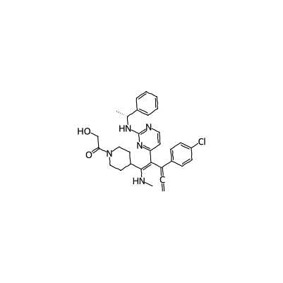 C=C=C(/C(=C(\NC)C1CCN(C(=O)CO)CC1)c1ccnc(N[C@H](C)c2ccccc2)n1)c1ccc(Cl)cc1